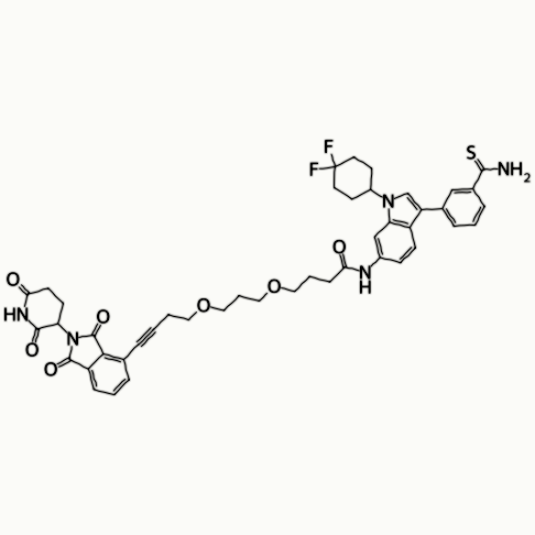 NC(=S)c1cccc(-c2cn(C3CCC(F)(F)CC3)c3cc(NC(=O)CCCOCCCOCCC#Cc4cccc5c4C(=O)N(C4CCC(=O)NC4=O)C5=O)ccc23)c1